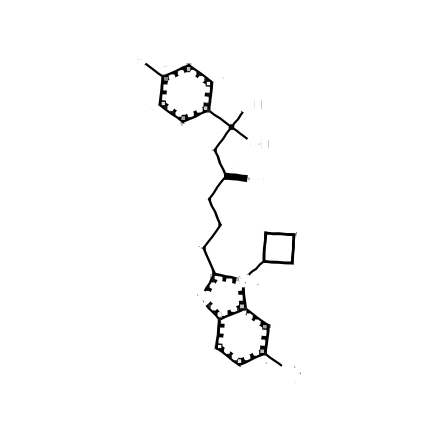 CC(O)(CC(=O)CCCc1nc2ccc(C#N)cc2n1C1CCC1)c1ccc(F)cc1